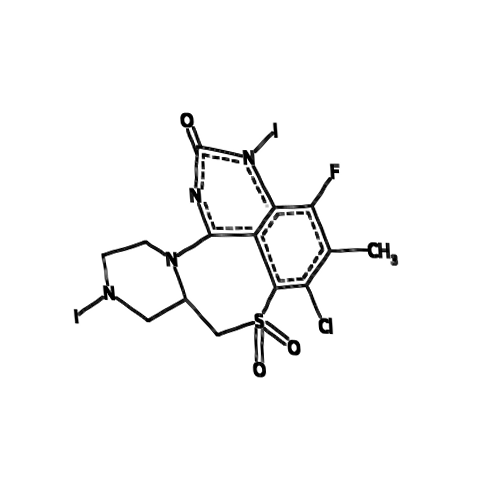 Cc1c(Cl)c2c3c(nc(=O)n(I)c3c1F)N1CCN(I)CC1CS2(=O)=O